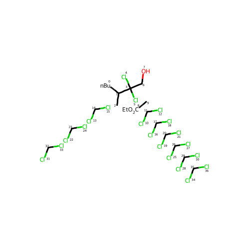 CCCCC(C)C(Cl)(Cl)CO.CCOC(C)=O.ClCCl.ClCCl.ClCCl.ClCCl.ClCCl.ClCCl.ClCCl.ClCCl.ClCCl